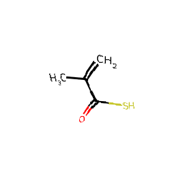 C=C(C)C(=O)S